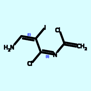 C=C(Cl)/N=C(Cl)\C(I)=C/N